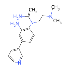 C=C(N)N(CCN(C)C)c1ccc(-c2cccnc2)cc1N